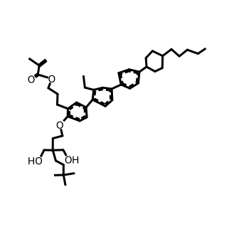 C=C(C)C(=O)OCCCc1cc(-c2ccc(-c3ccc(C4CCC(CCCCC)CC4)cc3)cc2CC)ccc1OCCC(CO)(CO)CCC(C)(C)C